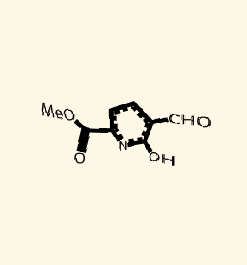 COC(=O)c1ccc(C=O)c(O)n1